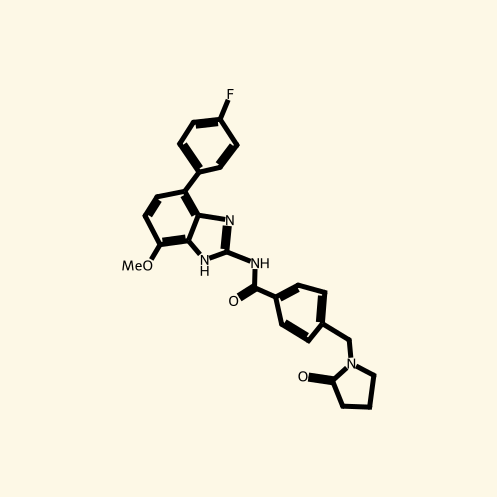 COc1ccc(-c2ccc(F)cc2)c2nc(NC(=O)c3ccc(CN4CCCC4=O)cc3)[nH]c12